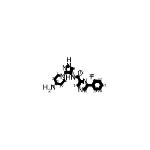 NC1CCN(c2n[nH]cc2NC(=O)c2cncc(-c3ccccc3F)n2)CC1